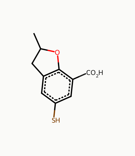 CC1Cc2cc(S)cc(C(=O)O)c2O1